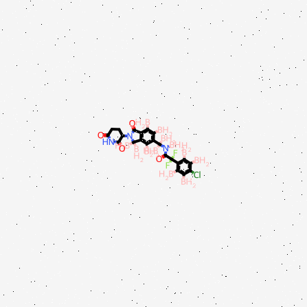 Bc1c(B)c(C(F)(F)C(=O)N(B)C(B)(B)c2c(B)c(B)c3c(c2B)C(B)(B)N(C2CCC(=O)NC2=O)C3=O)c(B)c(B)c1Cl